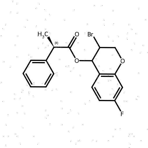 C[C@@H](C(=O)OC1c2ccc(F)cc2OCC1Br)c1ccccc1